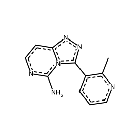 Cc1ncccc1-c1nnc2ccnc(N)n12